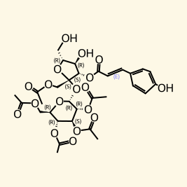 CC(=O)OC[C@H]1O[C@H](O[C@]2(COC(C)=O)O[C@H](CO)[C@@H](O)[C@@H]2OC(=O)/C=C/c2ccc(O)cc2)[C@H](OC(C)=O)[C@@H](OC(C)=O)[C@@H]1OC(C)=O